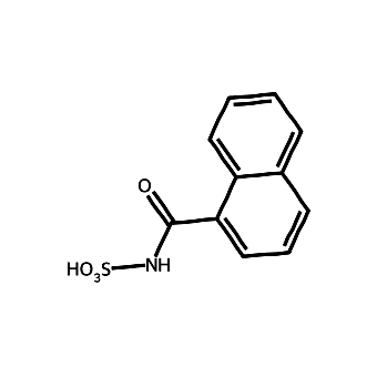 O=C(NS(=O)(=O)O)c1cccc2ccccc12